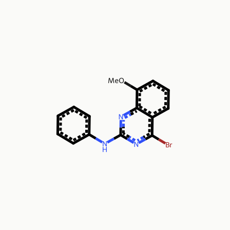 COc1cccc2c(Br)nc(Nc3ccccc3)nc12